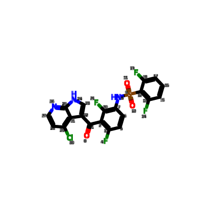 O=C(c1c(F)ccc(NS(=O)(=O)c2c(F)cccc2F)c1F)c1c[nH]c2nccc(Cl)c12